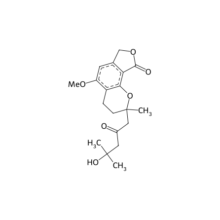 COc1cc2c(c3c1CCC(C)(CC(=O)CC(C)(C)O)O3)C(=O)OC2